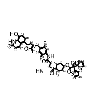 CN(CCC(=O)Nc1cc(F)c(CNC[C@H](O)c2ccc(O)c3[nH]c(=O)ccc23)cc1F)[C@H]1CC[C@H](OC(=O)C(O)(c2cccs2)c2cccs2)CC1.F